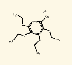 CCOc1cc(C)c(OCC)c(OCC)c1OCC.[SiH4]